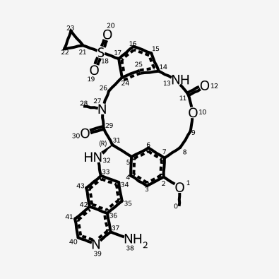 COc1ccc2cc1CCOC(=O)Nc1ccc(S(=O)(=O)C3CC3)c(c1)CN(C)C(=O)[C@@H]2Nc1ccc2c(N)nccc2c1